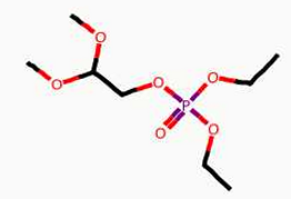 CCOP(=O)(OCC)OCC(OC)OC